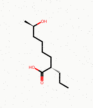 CCC[C@@H](CCCC[C@@H](C)O)C(=O)O